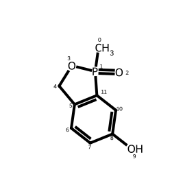 CP1(=O)OCc2ccc(O)cc21